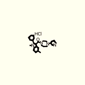 Cc1ccc2c(c1)c(C(=O)N1CCCN(c3cccnc3)CC1)c(-c1ccccc1)n2C.Cl